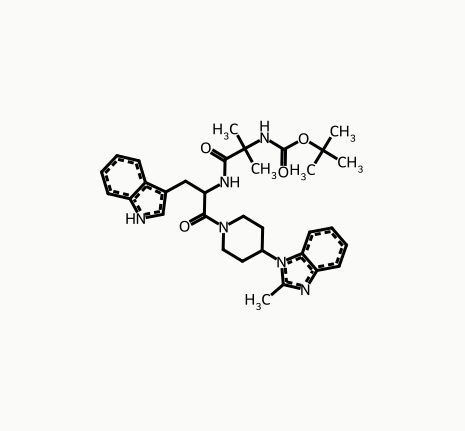 Cc1nc2ccccc2n1C1CCN(C(=O)C(Cc2c[nH]c3ccccc23)NC(=O)C(C)(C)NC(=O)OC(C)(C)C)CC1